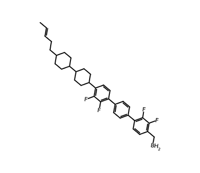 BCc1ccc(-c2ccc(-c3ccc(C4CCC(C5CCC(CC/C=C/C)CC5)CC4)c(F)c3F)cc2)c(F)c1F